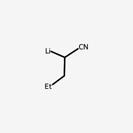 [Li][CH](C#N)CCC